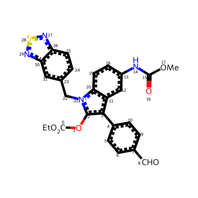 CCOC(=O)Oc1c(-c2ccc(C=O)cc2)c2cc(NC(=O)OC)ccc2n1Cc1ccc2nsnc2c1